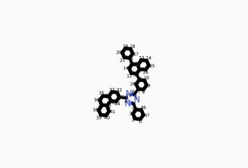 c1ccc(-c2nc(-c3cccc(-c4ccc(-c5ccccc5)c5ccccc45)c3)nc(-c3ccc4ccc5ccccc5c4c3)n2)cc1